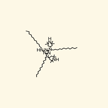 CCCCCCCCCCCCNc1nc(N(CCCCCCCCCCCC)C2CC(C)(C)NC(C)(C)C2)nc(N(CCCCCCCCCCCC)C2CC(C)(C)NC(C)(C)C2)n1